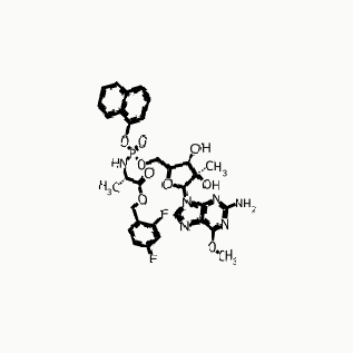 COc1nc(N)nc2c1ncn2C1OC(COP(=O)(N[C@@H](C)C(=O)OCc2ccc(F)cc2F)Oc2cccc3ccccc23)[C@@H](O)[C@@]1(C)O